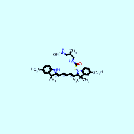 CC(CNC=O)CNC(=O)S[N+]1=C(/C=C/C=C/C=C2\Nc3ccc(S(=O)(=O)O)cc3C2C)C(C)(C)c2cc(S(=O)(=O)O)ccc21